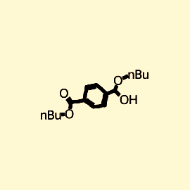 CCCCOC(=O)c1ccc(C(O)OCCCC)cc1